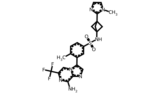 Cc1ccc(S(=O)(=O)NC23CC(c4nccn4C)(C2)C3)cc1-c1cnc2c(N)nc(C(F)(F)F)cn12